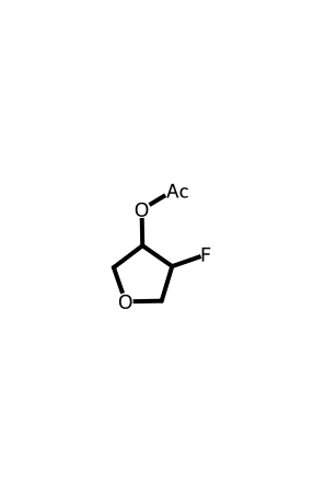 CC(=O)OC1COCC1F